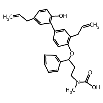 C=CCc1ccc(O)c(-c2ccc(OC(CCN(C)C(=O)O)c3ccccc3)c(CC=C)c2)c1